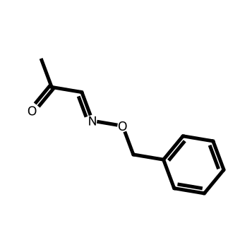 CC(=O)C=NOCc1ccccc1